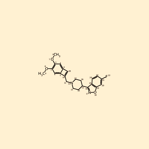 COc1cc2c(cc1OC)C(CN1CCC(c3noc4cc(F)ccc34)CC1)=C2